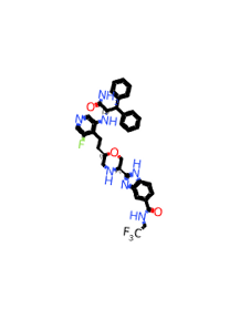 NC(=O)[C@@H](Nc1cncc(F)c1CC[C@@H]1CN[C@H](c2nc3cc(C(=O)NCC(F)(F)F)ccc3[nH]2)CO1)C(c1ccccc1)c1ccccc1